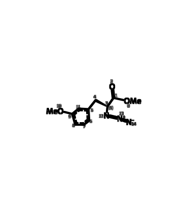 COC(=O)[C@H](Cc1cccc(OC)c1)N=[N+]=[N-]